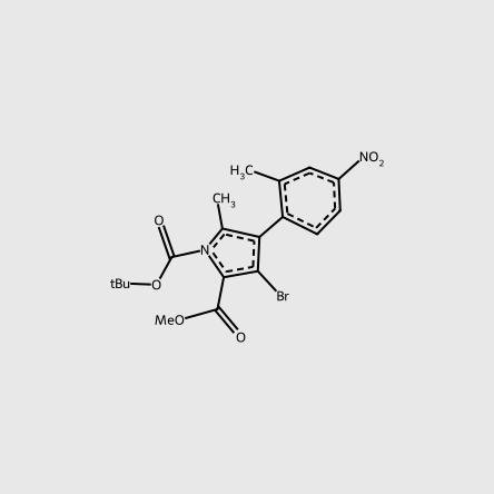 COC(=O)c1c(Br)c(-c2ccc([N+](=O)[O-])cc2C)c(C)n1C(=O)OC(C)(C)C